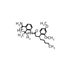 CCCCC[C@@H](CC(=O)Nc1cccc(C(N)=O)c1C(C)(C)C)c1ccc(OC)cc1OC